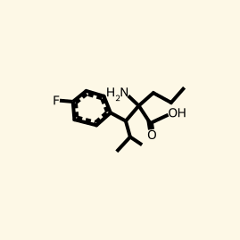 CCCC(N)(C(=O)O)C(c1ccc(F)cc1)C(C)C